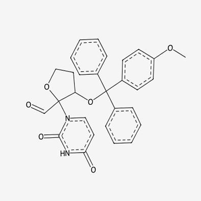 COc1ccc(C(OC2CCOC2(C=O)n2ccc(=O)[nH]c2=O)(c2ccccc2)c2ccccc2)cc1